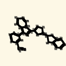 COc1cccc(-c2nc(C3CCN(C4Cc5ccccc5C4)C3)n3ccccc23)c1